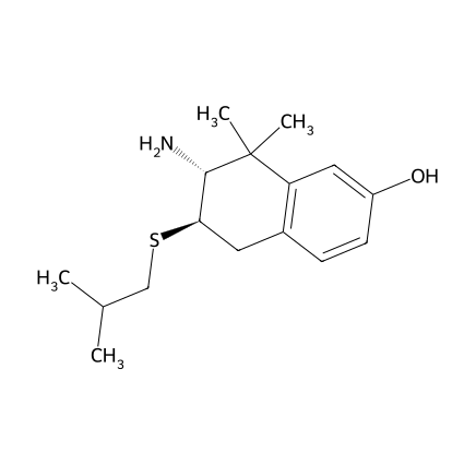 CC(C)CS[C@@H]1Cc2ccc(O)cc2C(C)(C)[C@H]1N